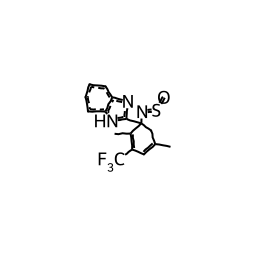 CC1=CC(C(F)(F)F)=C(C)C(N=S=O)(c2nc3ccccc3[nH]2)C1